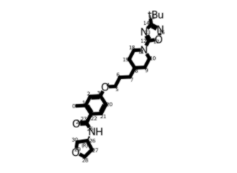 Cc1cc(OCCCC2CCN(c3nc(C(C)(C)C)no3)CC2)ccc1C(=O)N[C@@H]1CCOC1